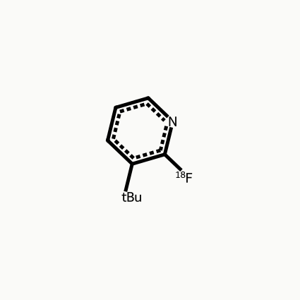 CC(C)(C)c1cccnc1[18F]